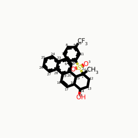 CC1(S(=O)(=O)c2cccc(C(F)(F)F)c2)CCC(O)C2C=Cc3c(ccc4ccccc34)C21